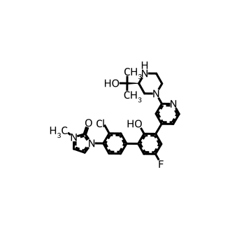 Cn1ccn(-c2ccc(-c3cc(F)cc(-c4ccnc(N5CCN[C@H](C(C)(C)O)C5)c4)c3O)cc2Cl)c1=O